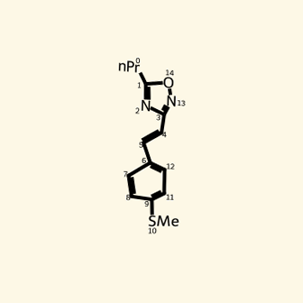 CCCc1nc(/C=C/c2ccc(SC)cc2)no1